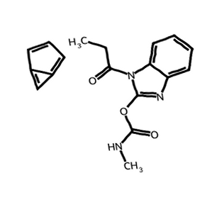 CCC(=O)n1c(OC(=O)NC)nc2ccccc21.c1cc2cc-2c1